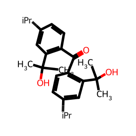 CC(C)c1ccc(C(=O)c2ccc(C(C)C)cc2C(C)(C)O)c(C(C)(C)O)c1